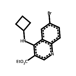 CCOC(=O)c1cnc2ccc(Br)cc2c1NC1CCC1